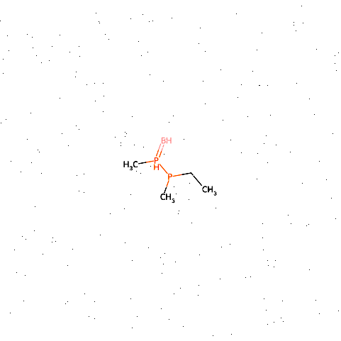 B=[PH](C)P(C)CC